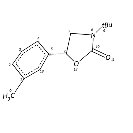 Cc1cccc([C@@H]2CN(C(C)(C)C)C(=O)O2)c1